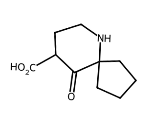 O=C(O)C1CCNC2(CCCC2)C1=O